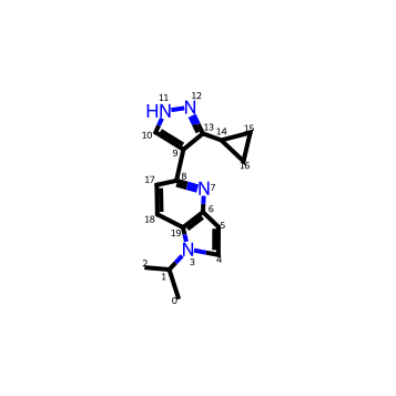 CC(C)n1ccc2nc(-c3c[nH]nc3C3CC3)ccc21